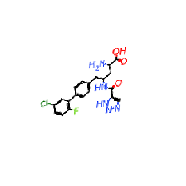 NC(CC(Cc1ccc(-c2cc(Cl)ccc2F)cc1)NC(=O)c1cnn[nH]1)C(=O)O